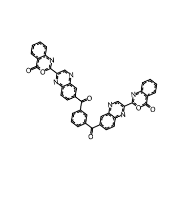 O=C(c1cccc(C(=O)c2ccc3nc(-c4nc5ccccc5c(=O)o4)cnc3c2)c1)c1ccc2nc(-c3nc4ccccc4c(=O)o3)cnc2c1